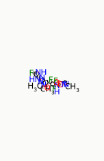 CC(C)n1c(=O)c(-c2cc(F)c(NS(=O)(=O)Cc3ccn(C)n3)c(F)c2F)cc2cnc(N[C@@H]3CNC[C@@H](F)C3)nc21